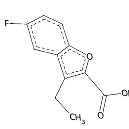 CCc1c(C(=O)O)oc2ccc(F)cc12